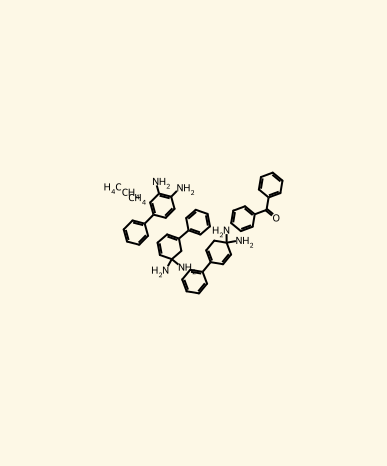 C.C.C.NC1(N)C=CC(c2ccccc2)=CC1.NC1(N)C=CC=C(c2ccccc2)C1.Nc1ccc(-c2ccccc2)cc1N.O=C(c1ccccc1)c1ccccc1